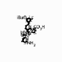 CC(C)COc1cc(F)cc(-c2ccc(C(=O)NS(=O)(=O)c3cccc(N)n3)c(N3CCC[C@@H]3C(=O)O)n2)c1